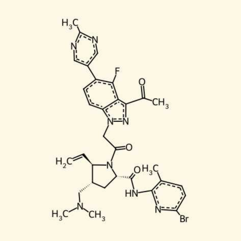 C=C[C@@H]1[C@@H](CN(C)C)C[C@@H](C(=O)Nc2nc(Br)ccc2C)N1C(=O)Cn1nc(C(C)=O)c2c(F)c(-c3cnc(C)nc3)ccc21